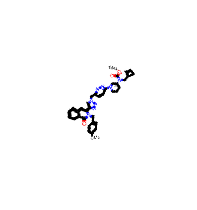 COc1ccc(Cn2c(-c3cn(Cc4ccc(N5CCC[C@@H](N(CC6CCC6)C(=O)OC(C)(C)C)C5)nn4)nn3)cc3ccccc3c2=O)cc1